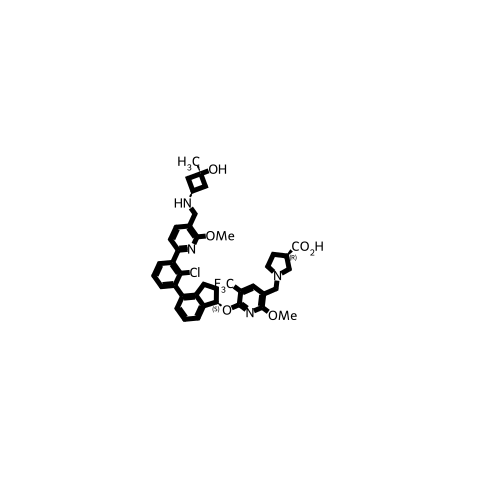 COc1nc(-c2cccc(-c3cccc4c3CC[C@@H]4Oc3nc(OC)c(CN4CC[C@@H](C(=O)O)C4)cc3C(F)(F)F)c2Cl)ccc1CN[C@H]1C[C@](C)(O)C1